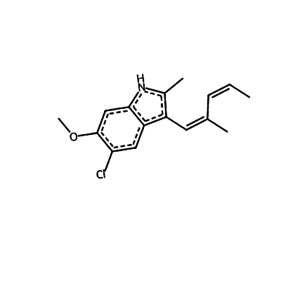 C/C=C\C(C)=C/c1c(C)[nH]c2cc(OC)c(Cl)cc12